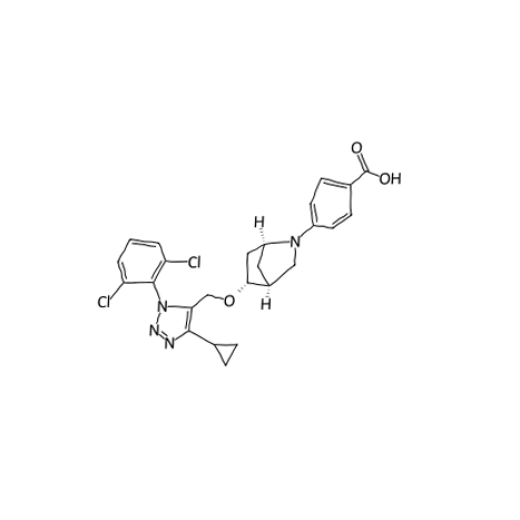 O=C(O)c1ccc(N2C[C@@H]3C[C@H]2C[C@H]3OCc2c(C3CC3)nnn2-c2c(Cl)cccc2Cl)cc1